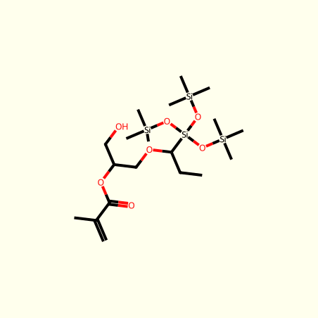 C=C(C)C(=O)OC(CO)COC(CC)[Si](O[Si](C)(C)C)(O[Si](C)(C)C)O[Si](C)(C)C